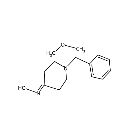 COC.ON=C1CCN(Cc2ccccc2)CC1